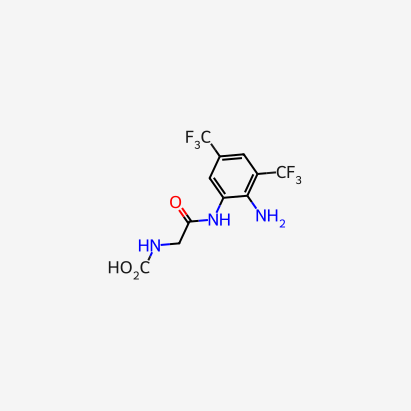 Nc1c(NC(=O)CNC(=O)O)cc(C(F)(F)F)cc1C(F)(F)F